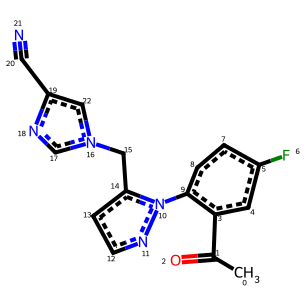 CC(=O)c1cc(F)ccc1-n1nccc1Cn1cnc(C#N)c1